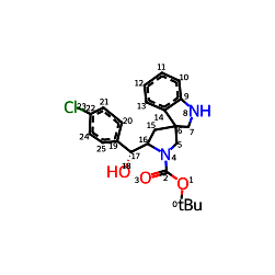 CC(C)(C)OC(=O)N1CC2(CNc3ccccc32)CC1[C@H](O)c1ccc(Cl)cc1